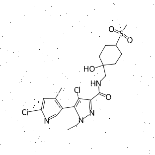 CCn1nc(C(=O)NCC2(O)CCC(S(C)(=O)=O)CC2)c(Cl)c1-c1cnc(Cl)cc1C